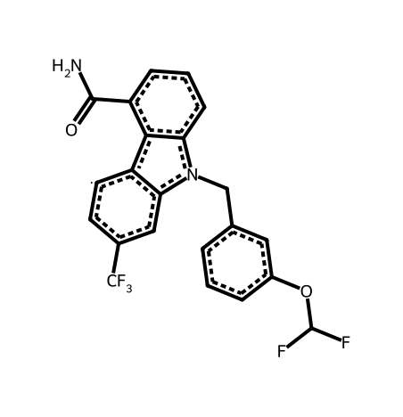 NC(=O)c1cccc2c1c1[c]cc(C(F)(F)F)cc1n2Cc1cccc(OC(F)F)c1